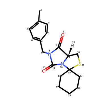 Cc1ccc(CN2C(=O)[C@@H]3CSC4(CCCCC4)N3C2=O)cc1